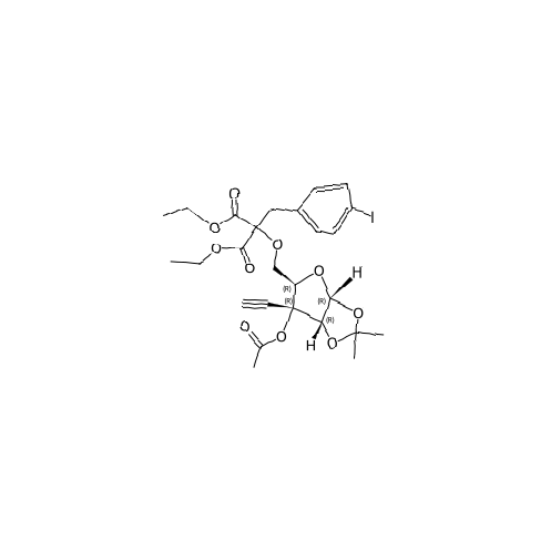 C#C[C@@]1(OC(C)=O)[C@@H](COC(Cc2ccc(I)cc2)(C(=O)OCC)C(=O)OCC)O[C@@H]2OC(C)(C)O[C@@H]21